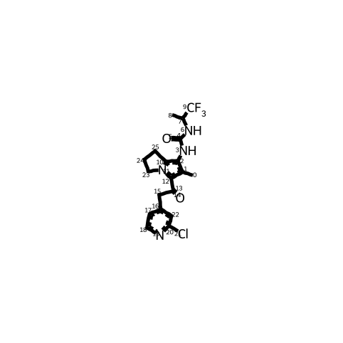 Cc1c(NC(=O)NC(C)C(F)(F)F)c2n(c1C(=O)Cc1ccnc(Cl)c1)CCC2